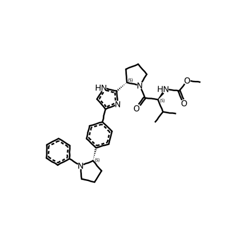 COC(=O)N[C@H](C(=O)N1CCC[C@H]1c1nc(-c2ccc([C@@H]3CCCN3c3ccccc3)cc2)c[nH]1)C(C)C